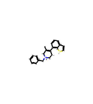 CC1=C(c2cccc3ccsc23)CCN(Cc2ccccc2)C1